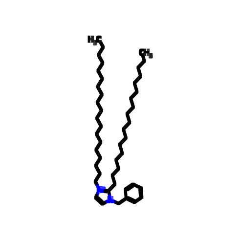 CCCCCCCCCCCCCCCCCCC[n+]1ccn(Cc2ccccc2)c1CCCCCCCCCCCCCCCCCC